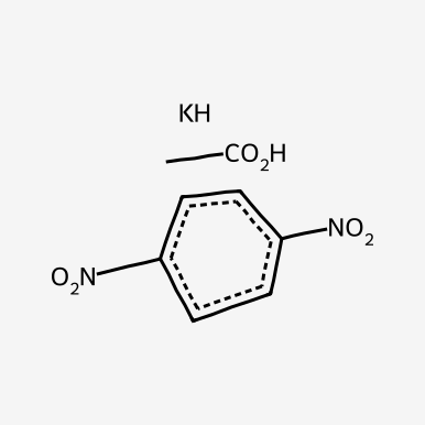 CC(=O)O.O=[N+]([O-])c1ccc([N+](=O)[O-])cc1.[KH]